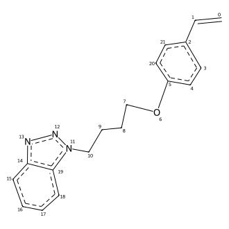 C=Cc1ccc(OCCCCn2nnc3ccccc32)cc1